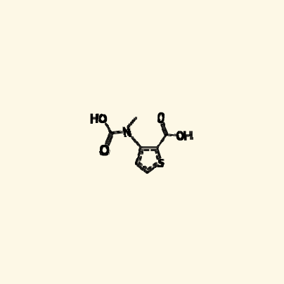 CN(C(=O)O)c1ccsc1C(=O)O